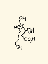 CC(C)CCCCCCCO.O=C(O)CC(O)C(=O)O